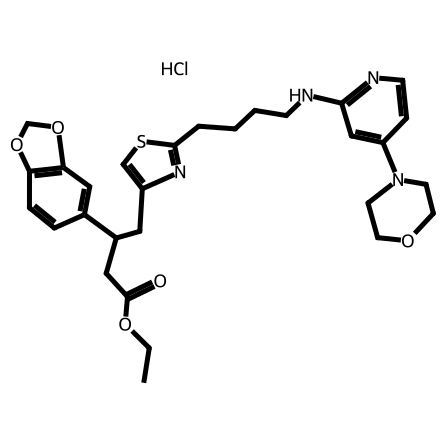 CCOC(=O)CC(Cc1csc(CCCCNc2cc(N3CCOCC3)ccn2)n1)c1ccc2c(c1)OCO2.Cl